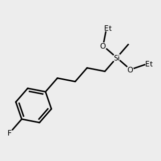 CCO[Si](C)(CCCCc1ccc(F)cc1)OCC